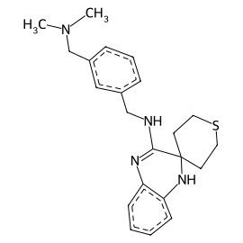 CN(C)Cc1cccc(CNC2=Nc3ccccc3NC23CCSCC3)c1